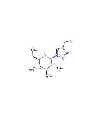 CC(=O)OC[C@H]1O[C@@H](n2cc(CBr)nn2)[C@H](OC(C)=O)[C@@H](OC(C)=O)[C@@H]1OC(C)=O